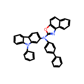 c1ccc(-c2ccc(N(c3ccc4c5ccccc5n(-c5ccccc5)c4c3)c3nc4c(ccc5ccccc54)o3)cc2)cc1